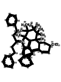 CC12C(=C3Cc4ccccc4C3=C3C=CCCC31)[C](C)([Zr+2]([C]1=CC=CC1)=[C](CCc1ccccc1)CCc1ccccc1)C(C)(C)C(C)(C)C2(C)C.[Cl-].[Cl-]